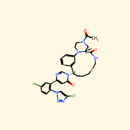 CC(=O)N1CCN2c3cccc(c3)[C@@H](n3cnc(-c4cc(Cl)ccc4-n4cc(Cl)nn4)cc3=O)CCCCCNC(=O)[C@H]2C1